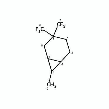 CC1C2CCC(C(F)(F)F)(C(F)(F)F)CC12